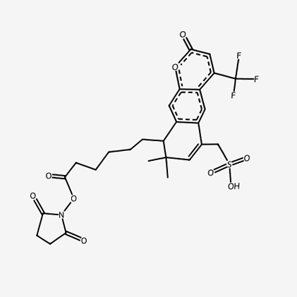 CC1(C)C=C(CS(=O)(=O)O)c2cc3c(C(F)(F)F)cc(=O)oc3cc2C1CCCCCC(=O)ON1C(=O)CCC1=O